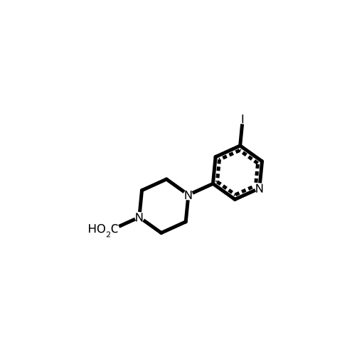 O=C(O)N1CCN(c2cncc(I)c2)CC1